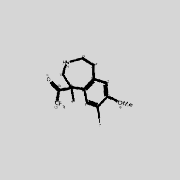 COc1cc2c(cc1I)C(C)(C(=O)C(F)(F)F)CNCC2